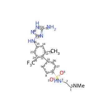 CNCCNS(=O)(=O)c1ccc(-c2c(C)cc(Nc3n[nH]c(N)n3)cc2C(F)(F)F)cc1